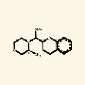 COC(C1CCc2ccccc2O1)N1CCOC[C@@H]1C